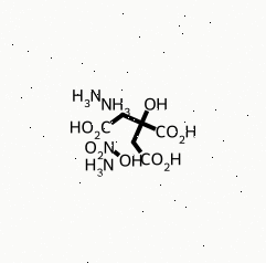 N.N.N.O=C(O)CC(O)(CC(=O)O)C(=O)O.O=[N+]([O-])O